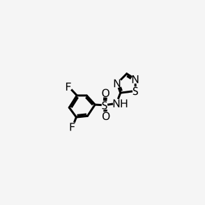 O=S(=O)(Nc1ncns1)c1cc(F)cc(F)c1